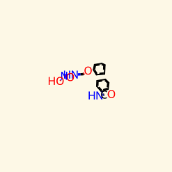 N=C=O.N=C=O.O=NO.c1ccccc1.c1ccccc1